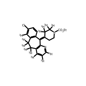 [2H]c1nc2c(c([2H])c1[2H])C([2H])([2H])C([2H])([2H])c1c(ccc(Cl)c1[2H])C2=C1CCN(C(=O)OCC)C([2H])([2H])C1([2H])[2H]